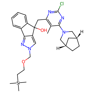 Cc1c(CC2(O)c3ccccc3-c3nn(COCC[Si](C)(C)C)cc32)nc(Cl)nc1N1C[C@@H]2CC[C@@H](C2)C1